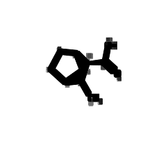 CC1C2CCC(C2)[C@H]1C(=O)O